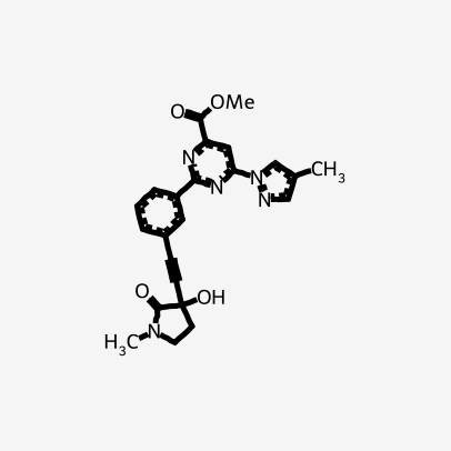 COC(=O)c1cc(-n2cc(C)cn2)nc(-c2cccc(C#CC3(O)CCN(C)C3=O)c2)n1